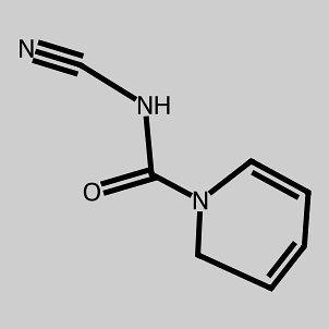 N#CNC(=O)N1C=CC=CC1